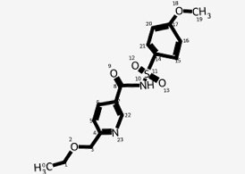 CCOCc1ccc(C(=O)NS(=O)(=O)c2ccc(OC)cc2)cn1